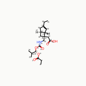 CCC(=O)O[C@@H](OC(=O)NC[C@@]1(CC(=O)O)C[C@H]2CC(CC)=C[C@@H]21)C(C)C